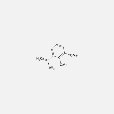 C=C([SiH3])c1cccc(OC)c1OC